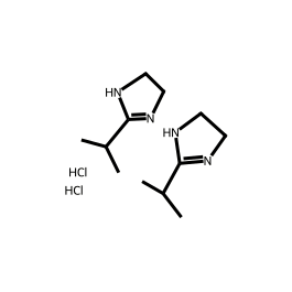 CC(C)C1=NCCN1.CC(C)C1=NCCN1.Cl.Cl